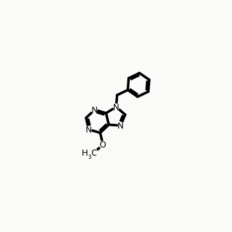 COc1ncnc2c1ncn2Cc1ccccc1